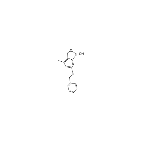 Cc1cc(OCc2ccccc2)cc2c1COB2O